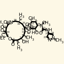 CC[C@H]1OC(=O)[C@H](C)[C@@H](O)[C@H](C)[C@@H](O[C@@H]2O[C@H](C)C[C@H](N(C)C(=O)Nc3cnn(C)c3)[C@H]2O)[C@](C)(O)C[C@@H](C)CN[C@H](C)[C@@H](O)[C@]1(C)O